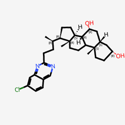 C[C@H](CCc1ncc2ccc(Cl)cc2n1)[C@H]1CC[C@H]2[C@H]3C(CC[C@]12C)[C@@]1(C)CC[C@@H](O)C[C@H]1C[C@H]3O